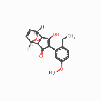 CCc1ccc(OC)cc1C1=C(O)C2C(C1=O)[C@@H]1C=C[C@H]2O1